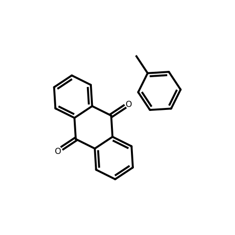 Cc1ccccc1.O=C1c2ccccc2C(=O)c2ccccc21